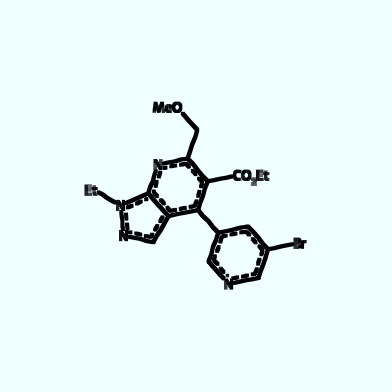 CCOC(=O)c1c(COC)nc2c(cnn2CC)c1-c1cncc(Br)c1